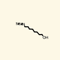 [N-]=[N+]=NCCCCCCCCO